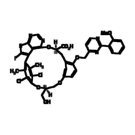 COc1ccccc1-c1nccc(COc2ccc3cc2C[C@H](C(=O)O)Oc2ncnc4sc(I)c(c24)-c2c(C)c(Cl)c(c(Cl)c2C)O[C@H](CO)CO3)n1